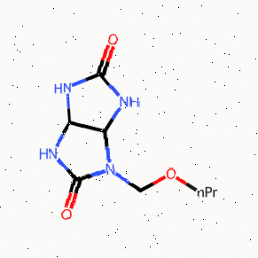 CCCOCN1C(=O)NC2NC(=O)NC21